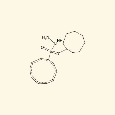 NN(N)S(=O)(=NC1CCCCCCC1)c1ccccccccc1